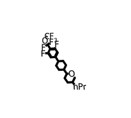 CCCC1CCC(C2CCC(c3cc(F)c(C(F)(F)OC(F)(F)F)c(F)c3)CC2)OC1